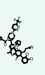 Cc1nc2c(F)c(-c3cccc(Cl)c3Cl)c(CCC#N)cc2c2c1cc(C1C3CC(CN(c4ccc(C(F)(F)F)nn4)C3)N1C(=O)C1CC1)n2C1C2CNC1C2